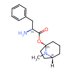 CN1[C@@H]2CCC[C@@]1(OC(=O)[C@@H](N)Cc1ccccc1)CC2